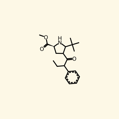 CCC(C(=O)C1C[C@@H](C(=O)OC)NC1C(C)(C)C)c1ccccc1